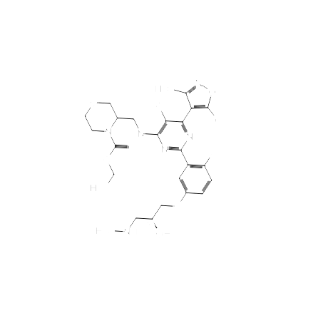 CCOC(=O)N1CCOCC1CNc1nc(-c2cc(OC[C@@H](O)CNC)ccc2Cl)nc(-c2c(C)noc2C)c1C